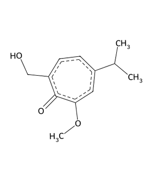 COc1cc(C(C)C)ccc(CO)c1=O